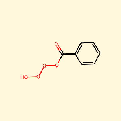 O=C(OOOO)c1ccccc1